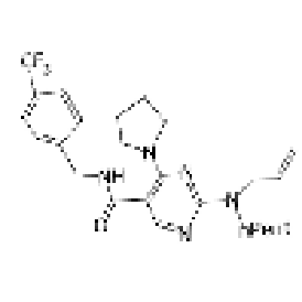 C=CCN(CCCCC)c1ncc(C(=O)NCc2ccc(C(F)(F)F)cc2)c(N2CCCC2)n1